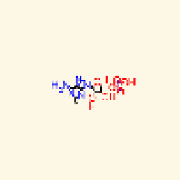 Cc1nc(N)c2ncn([C@@H]3O[C@H](COP(=O)(O)O)[C@@H](O)[C@H]3O)c2n1